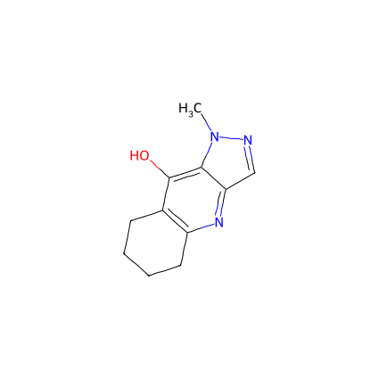 Cn1ncc2nc3c(c(O)c21)CCCC3